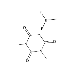 CN1C(=O)CC(=O)N(C)C1=O.FB(F)F